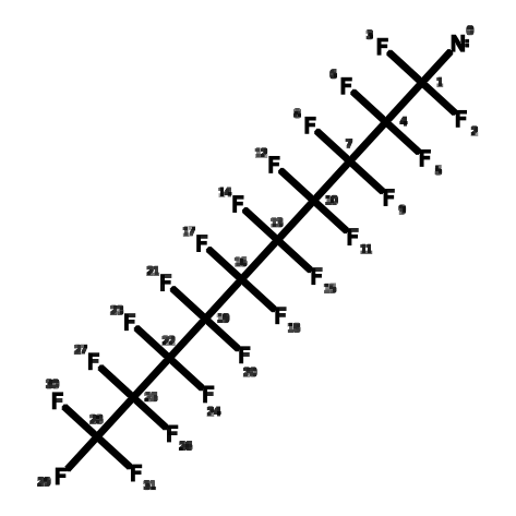 [N]C(F)(F)C(F)(F)C(F)(F)C(F)(F)C(F)(F)C(F)(F)C(F)(F)C(F)(F)C(F)(F)C(F)(F)F